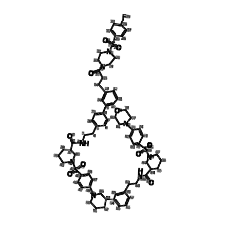 O=C(NCCc1ccc(-c2cccc(CCC(=O)N3CCN(S(=O)(=O)c4ccc(F)cc4)CC3)c2)cc1)C1CCCN(S(=O)(=O)c2ccc(N3CCCC(c4cccc(CCNC(=O)C5CCCN(S(=O)(=O)c6ccc(N7CCOCC7)cc6)C5)c4)C3)cc2)C1